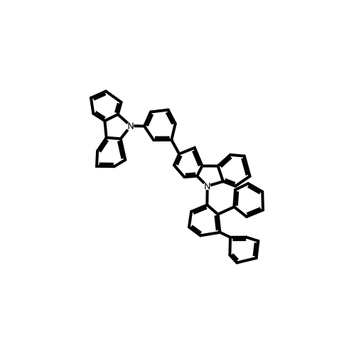 c1ccc(-c2cccc(-n3c4ccccc4c4cc(-c5cccc(-n6c7ccccc7c7ccccc76)c5)ccc43)c2-c2ccccc2)cc1